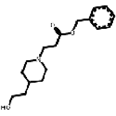 O=C(CCN1CCC(CCO)CC1)OCc1ccccc1